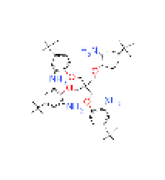 CC(C)(C)C1=CCC(OCC(COc2ccc(C(C)(C)C)cc2N)(COc2ccc(C(C)(C)C)cc2N)COc2ccc(C(C)(C)C)cc2N)C(N)C1